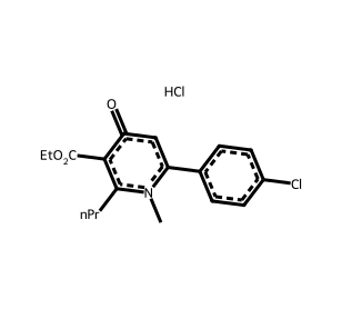 CCCc1c(C(=O)OCC)c(=O)cc(-c2ccc(Cl)cc2)n1C.Cl